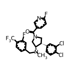 CN(Cc1ccc(C(F)(F)F)c(F)c1)[C@H]1CN(C(=O)c2ccc(F)nc2)C[C@@H]1c1ccc(Cl)c(Cl)c1